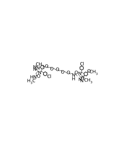 CCNC(=O)C[C@@H]1N=C(c2ccc(Cl)cc2)c2cc(OCCOCCOCCOCCOCCNC(=O)C[C@@H]3N=C(c4ccc(Cl)cc4)c4cc(OC)ccc4-n4c(C)nnc43)ccc2-n2c(C)nnc21